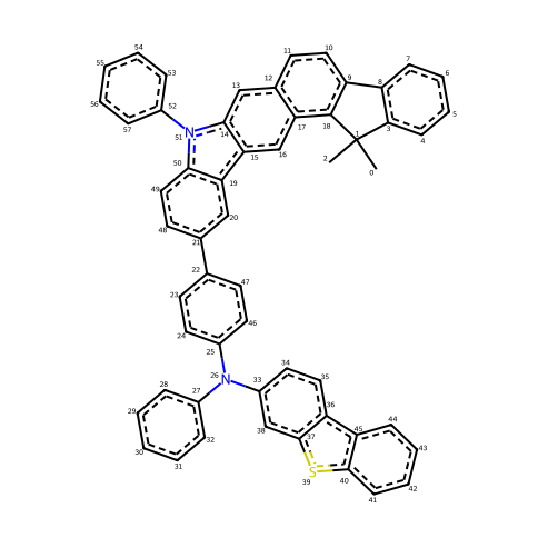 CC1(C)c2ccccc2-c2ccc3cc4c(cc3c21)c1cc(-c2ccc(N(c3ccccc3)c3ccc5c(c3)sc3ccccc35)cc2)ccc1n4-c1ccccc1